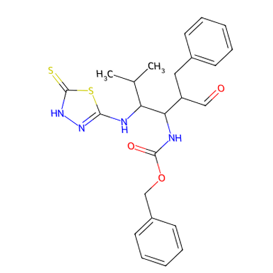 CC(C)C(Nc1n[nH]c(=S)s1)C(NC(=O)OCc1ccccc1)C(C=O)Cc1ccccc1